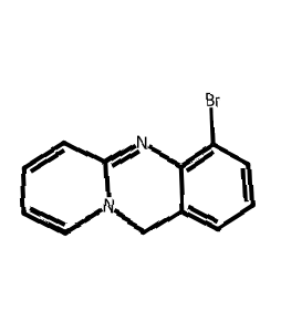 Brc1cccc2c1N=C1C=CC=CN1C2